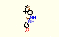 COc1cccc(NC(=S)Nc2ccc3c(c2)C(C)(C)CC(C)(C)S3)c1